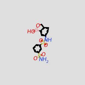 NS(=O)(=O)c1cccc(S(=O)(=O)Nc2ccc3c(c2)B(O)OC3)c1